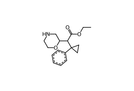 CCOC(=O)C(C1CNCCO1)C1(c2ccccc2)CC1